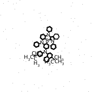 CC(C)(C)c1ccc(N(c2ccc3c(c2)N(c2ccccc2)c2cccc4c2B3c2c(c3c(n2-c2ccccc2)CCCC3)N4c2ccccc2)c2ccc(C(C)(C)C)c3ccccc23)cc1